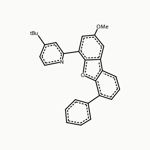 COc1cc(-c2cc(C(C)(C)C)ccn2)c2oc3c(-c4ccccc4)cccc3c2c1